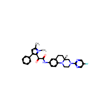 Cc1cc(-c2ccccc2)c(C(=O)C(=O)Nc2ccc3c(c2)CC[C@@H]2CN(c4ncc(F)cn4)CCN32)n1C